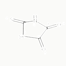 O=C1NC(=S)[Se]C1=O